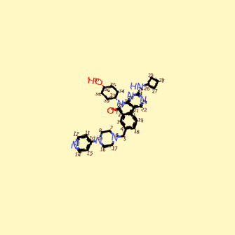 O=c1c2cc(CN3CCN(c4ccncc4)CC3)ccc2c2cnc(NC3CCC3)nc2n1[C@H]1CC[C@H](O)CC1